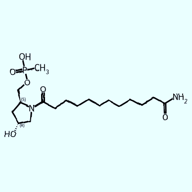 CP(=O)(O)OC[C@@H]1C[C@@H](O)CN1C(=O)CCCCCCCCCCC(N)=O